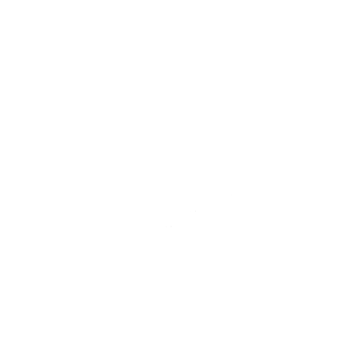 CCCCCc1cc(OC2CCCCO2)cc(OC2CCCCO2)c1OC(C)=O